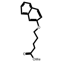 COC(=O)CCCCOc1ccc2ccccc2c1